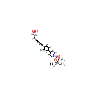 CC(C)(C)OC(=O)N1CC=C(c2ccc(C#CC#CCCCO)c(F)c2)CC1